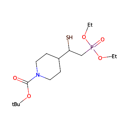 CCOP(=O)(CC(S)C1CCN(C(=O)OC(C)(C)C)CC1)OCC